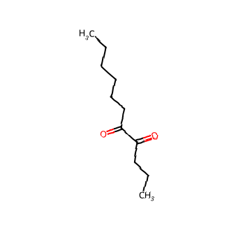 CCCCCCC(=O)C(=O)CCC